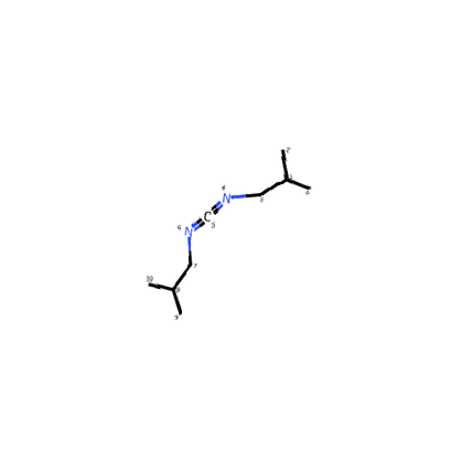 CC(C)CN=C=NCC(C)C